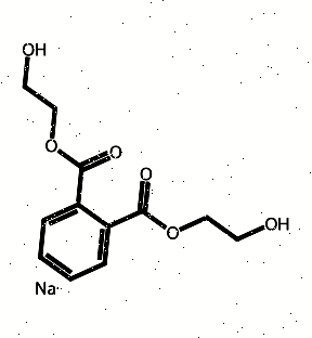 O=C(OCCO)c1ccccc1C(=O)OCCO.[Na]